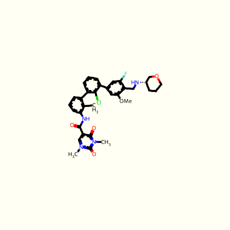 COc1cc(-c2cccc(-c3cccc(NC(=O)c4cn(C)c(=O)n(C)c4=O)c3C)c2Cl)cc(F)c1CN[C@H]1CCCOC1